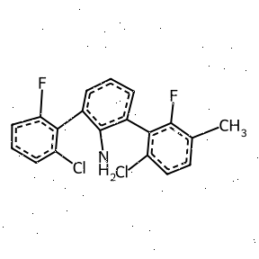 Cc1ccc(Cl)c(-c2cccc(-c3c(F)cccc3Cl)c2N)c1F